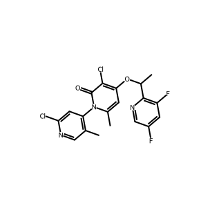 Cc1cnc(Cl)cc1-n1c(C)cc(OC(C)c2ncc(F)cc2F)c(Cl)c1=O